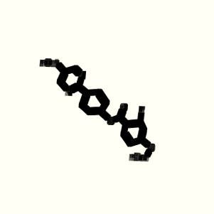 CCCCCCCCCCOc1ccc(C(=O)Oc2ccc(-c3ncc(CCCCCCCC)cn3)cc2)c(F)c1